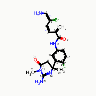 C=C(/C=C\C(Br)=C/N)C(=O)Nc1ccc(F)c(C2(C)CC(=O)N(C)C(N)=N2)c1